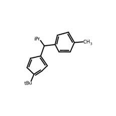 Cc1ccc(C(c2ccc(C(C)(C)C)cc2)C(C)C)cc1